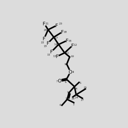 CC(C)=CC(C)(C(=O)OCCC(F)(F)C(F)(F)C(F)(F)C(F)(F)F)C(C)(C)C